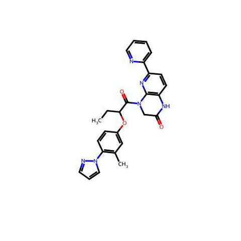 CCC(Oc1ccc(-n2cccn2)c(C)c1)C(=O)N1CC(=O)Nc2ccc(-c3ccccn3)nc21